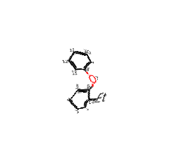 [CH2]Cc1ccccc1Oc1ccccc1